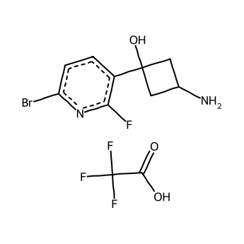 NC1CC(O)(c2ccc(Br)nc2F)C1.O=C(O)C(F)(F)F